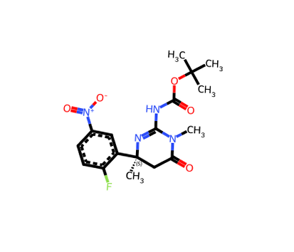 CN1C(=O)C[C@@](C)(c2cc([N+](=O)[O-])ccc2F)N=C1NC(=O)OC(C)(C)C